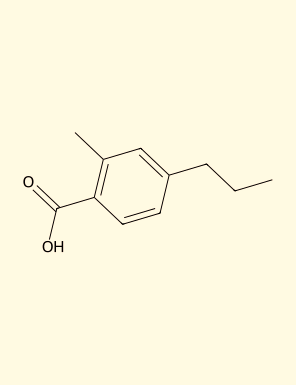 CCCc1ccc(C(=O)O)c(C)c1